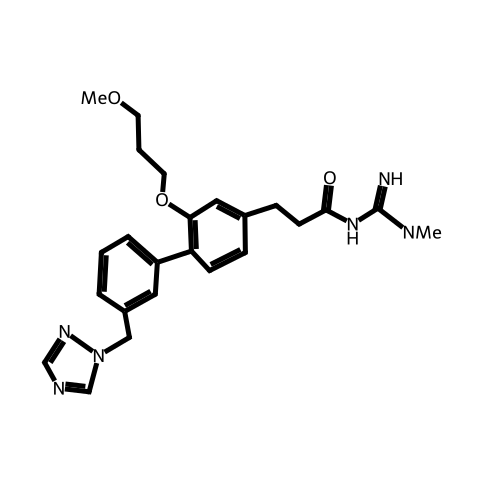 CNC(=N)NC(=O)CCc1ccc(-c2cccc(Cn3cncn3)c2)c(OCCCOC)c1